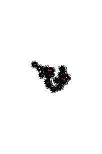 c1ccc(-c2ccc(-c3c4ccccc4c(-c4cc(-c5ccc6ccc(-c7cccc(-c8cccc(-c9c%10ccccc%10c(-c%10ccc(-c%11ccccc%11)c%11sc%12ccccc%12c%10%11)c%10ccccc9%10)c8)c7)cc6c5)cc5sc6ccccc6c45)c4ccccc34)cc2)cc1